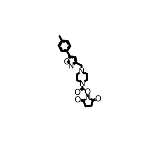 Cc1ccc(-c2cc(CN3CCN(C(=O)ON4C(=O)CCC4=O)CC3)no2)cc1